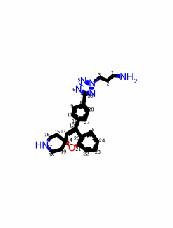 NCCCn1nnc(-c2ccc(C3=CC4(CCNCC4)Oc4ccccc43)cc2)n1